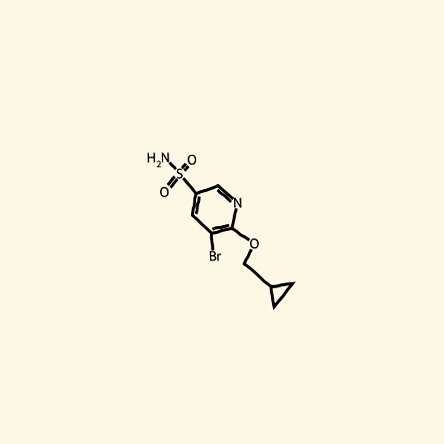 NS(=O)(=O)c1cnc(OCC2CC2)c(Br)c1